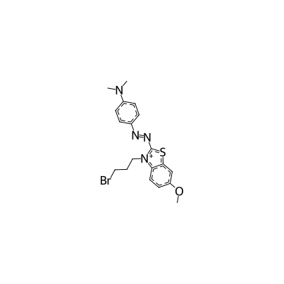 COc1ccc2c(c1)sc(/N=N/c1ccc(N(C)C)cc1)[n+]2CCCBr